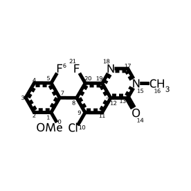 COc1cccc(F)c1-c1c(Cl)cc2c(=O)n(C)cnc2c1F